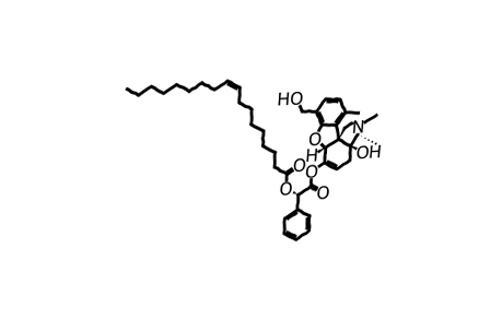 CCCCCCCC/C=C\CCCCCCCC(=O)O[C@H](C(=O)OC1=CC[C@@]2(O)[C@@H](C)N(C)CC[C@@]23c2c(C)ccc(CO)c2O[C@@H]13)c1ccccc1